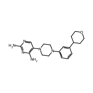 Nc1ncc(N2CCN(c3cccc(C4CCOCC4)c3)CC2)c(N)n1